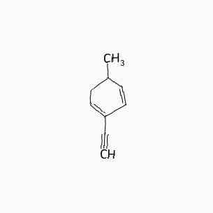 C#CC1=CCC(C)C=C1